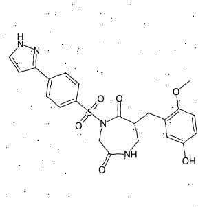 COc1ccc(O)cc1CC1CNC(=O)CN(S(=O)(=O)c2ccc(-c3cc[nH]n3)cc2)C1=O